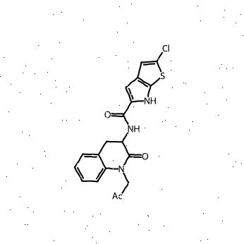 CC(=O)CN1C(=O)C(NC(=O)c2cc3cc(Cl)sc3[nH]2)Cc2ccccc21